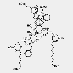 CCCCCCCCCCCCCCCCCC(=O)O[C@H](CCCCCCCCCCC)CC(=O)N[C@H]1[C@H](OC[C@H]2O[C@@H](OCc3ccccc3)[C@H](NC(=O)C[C@@H](CCCCCCCCCCC)OC(=O)CCCCCCCCCCCCCCC)[C@@H](O)[C@@H]2O)O[C@H](CO)[C@@H](OP(=O)(Oc2ccccc2)Oc2ccccc2)[C@@H]1OC(=O)C[C@@H](CCCCCCCCCCC)OC(=O)CCCCCCCCCCCCC